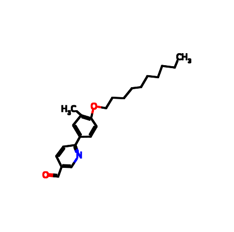 CCCCCCCCCCOc1ccc(-c2ccc(C=O)cn2)cc1C